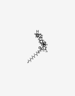 CCCCCCCCCCCCCC(=O)OC[C@H](CC(C)C)N(C)S(=O)(=O)c1ccc(Cc2nccc3[nH]c(C)nc23)cc1